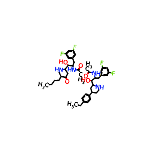 CCCCC1CNC(C(O)C(Cc2cc(F)cc(F)c2)NC(C)=O)CC1=O.CCc1ccc(C2CCNC(C(O)C(Cc3cc(F)cc(F)c3)NC(C)=O)C2)cc1